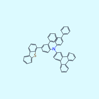 c1ccc(-c2ccc(N(c3ccc4c5ccccc5c5ccccc5c4c3)c3ccc(-c4cccc5c4sc4ccccc45)cc3-c3ccccc3)cc2)cc1